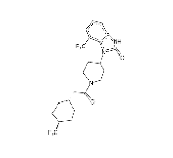 O=C(C[C@H]1CC[C@H](C(F)(F)F)CC1)N1CCC(n2c(=O)[nH]c3cccc(C(F)(F)F)c32)CC1